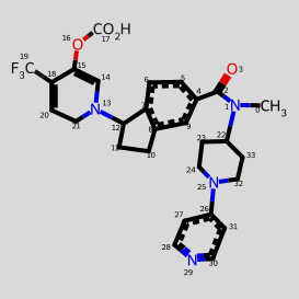 CN(C(=O)c1ccc2c(c1)CCC2N1C=C(OC(=O)O)C(C(F)(F)F)=CC1)C1CCN(c2ccncc2)CC1